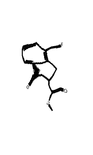 COC(=O)C1Cc2c(F)cccc2C1=O